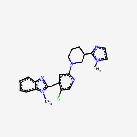 Cn1ccnc1C1CCCN(c2cc(-c3nc4ccccc4n3C)c(Cl)cn2)C1